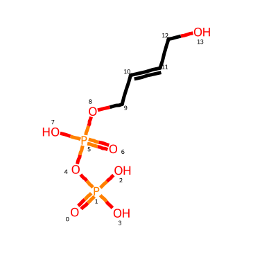 O=P(O)(O)OP(=O)(O)OCC=CCO